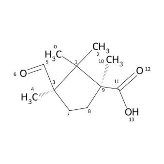 CC1(C)[C@](C)(C=O)CC[C@]1(C)C(=O)O